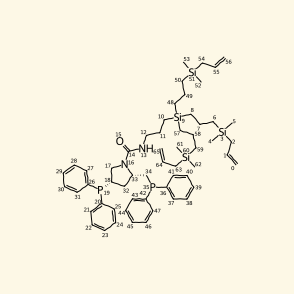 C=CC[Si](C)(C)CCC[Si](CCCNC(=O)N1C[C@@H](P(c2ccccc2)c2ccccc2)C[C@H]1CP(c1ccccc1)c1ccccc1)(CCC[Si](C)(C)CC=C)CCC[Si](C)(C)CC=C